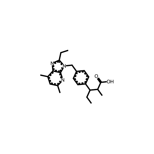 CCc1nc2c(C)cc(C)nc2n1Cc1ccc(C(CC)C(C)C(=O)O)cc1